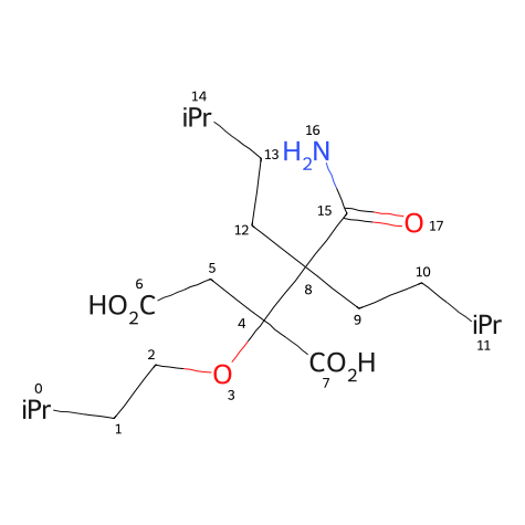 CC(C)CCOC(CC(=O)O)(C(=O)O)C(CCC(C)C)(CCC(C)C)C(N)=O